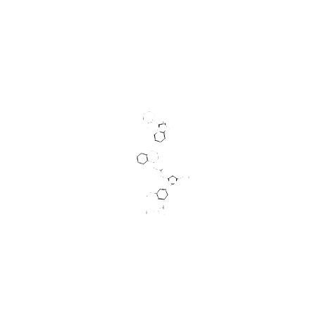 CC(C)[Si](Oc1ccc(-n2nc(C(C)(C)C)cc2NC(=O)N[C@H]2CC[C@@H](Oc3ccc4nnc(N5CCCC[C@@H]5C)n4c3)c3ccccc32)cc1CCl)(C(C)C)C(C)C